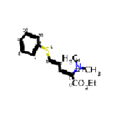 CCOC(=O)C(=CC=CSc1ccccc1)N(C)C